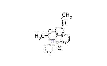 C=C(C)/C=C(\c1ccc(OCC)cc1)P(=O)(c1ccccc1)c1ccccc1